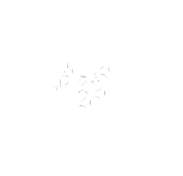 Cc1cc(=O)oc2cc(N)ccc12.O=C(Nc1ccccc1-c1ccccc1)c1sccc1NS(=O)(=O)c1ccccc1